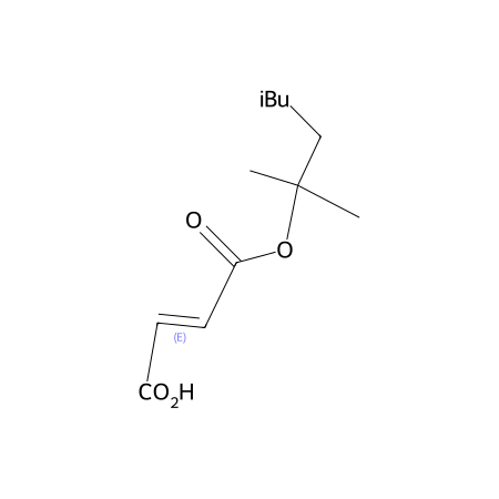 CCC(C)CC(C)(C)OC(=O)/C=C/C(=O)O